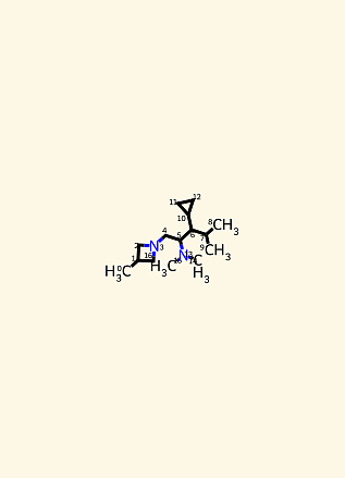 CC1CN(CC(C(C(C)C)C2CC2)N(C)C)C1